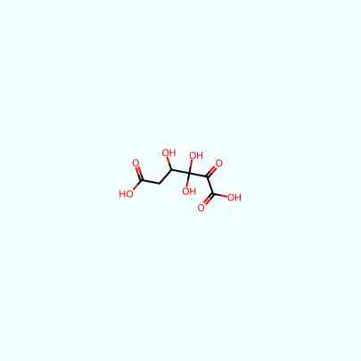 O=C(O)CC(O)C(O)(O)C(=O)C(=O)O